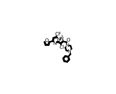 O=C(c1nn2c(C(F)(F)F)cc(-c3ccco3)nc2c1Cl)N1CCN(Cc2ccccc2)CC1